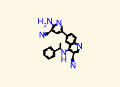 CC(Nc1c(C#N)cnc2ccc(-c3cnc(N)c(C#N)c3)cc12)c1ccccc1